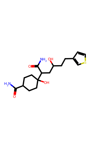 NC(=O)C1CCC(O)(C(CC(O)[CH]Cc2ccsc2)C(N)=O)CC1